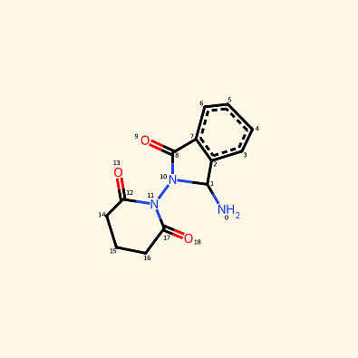 NC1c2ccccc2C(=O)N1N1C(=O)CCCC1=O